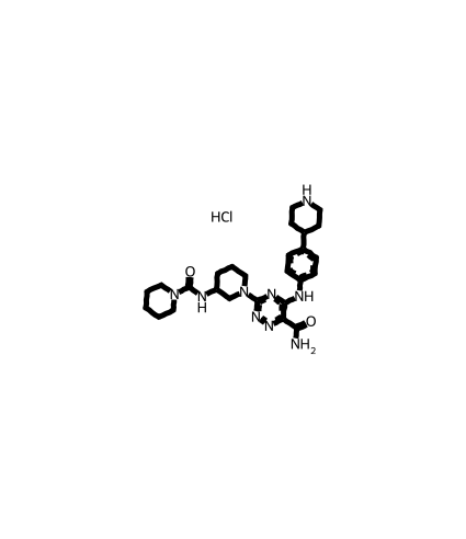 Cl.NC(=O)c1nnc(N2CCCC(NC(=O)N3CCCCC3)C2)nc1Nc1ccc(C2CCNCC2)cc1